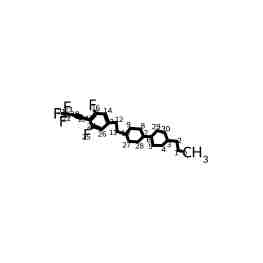 CCCC1CCC(C2CCC(CCc3cc(F)c(C#CC(F)(F)F)c(F)c3)CC2)CC1